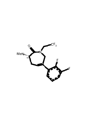 CN[C@H]1CC=C(c2cccc(F)c2F)CN(CC(F)(F)F)C1=O